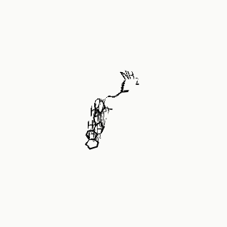 CC(CN)CC[C@H]1O[C@H]2C[C@H]3[C@@H]4CC=C5CCCC[C@]5(C)[C@H]4CC[C@]3(C)[C@H]2[C@@H]1C